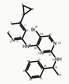 C/N=C(\C=C(/C)C1CC1)Nc1nc(NC(C)c2ccccc2)ncc1Br